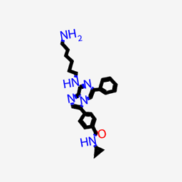 NCCCCCCNc1nc(-c2ccccc2)cn2c(-c3ccc(C(=O)NC4CC4)cc3)cnc12